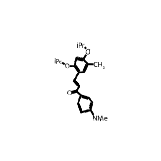 CNc1ccc(C(=O)/C=C/c2cc(C)c(OC(C)C)cc2OC(C)C)cc1